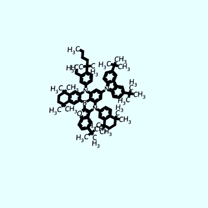 CCCCC(C)(C)c1ccc(N2c3cc4c(cc3B3c5oc6ccc(C(C)(C)C)cc6c5N(c5ccc6c(c5)C(C)(C)CCC6(C)C)c5cc(-n6c7ccc(C(C)(C)C)cc7c7cc(C(C)(C)C)ccc76)cc2c53)C(C)(C)CCC4(C)C)cc1CC